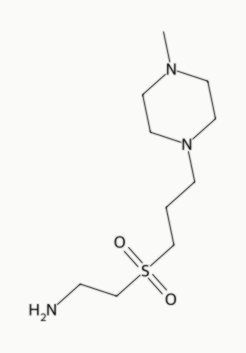 CN1CCN(CCCS(=O)(=O)CCN)CC1